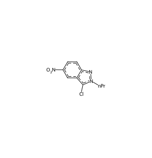 CCCn1nc2ccc([N+](=O)[O-])cc2c1Cl